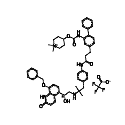 CC(C)(Cc1ccc(NC(=O)CCc2ccc(-c3ccccc3)c(NC(=O)OC3CC[N+](C)(C)CC3)c2)cc1)NC[C@H](O)c1ccc(OCc2ccccc2)c2[nH]c(=O)ccc12.O=C([O-])C(F)(F)F